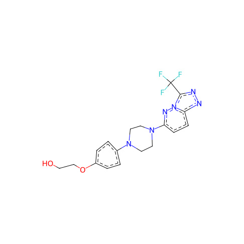 OCCOc1ccc(N2CCN(c3ccc4nnc(C(F)(F)F)n4n3)CC2)cc1